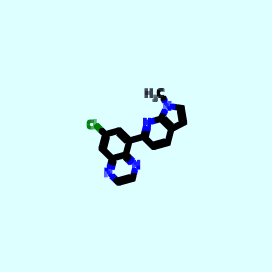 Cn1ccc2ccc(-c3cc(Cl)cc4nccnc34)nc21